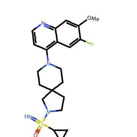 COc1cc2nccc(N3CCC4(CC3)CCN(S(=N)(=O)C3CC3)C4)c2cc1F